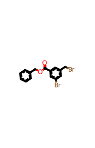 O=C(OCc1ccccc1)c1cc(Br)cc(CBr)c1